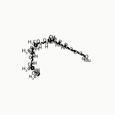 Cn1cc(NC(=O)c2nc(NC(=O)CCNC(=O)c3cc(NC(=O)c4nccn4C)cn3C)cn2C)cc1C(=O)NCCC(=O)Nc1cn(C)c(C(=O)NCCC(=O)NCCC(=O)NCCOCCOCCOCCC(=O)OC(C)(C)C)n1